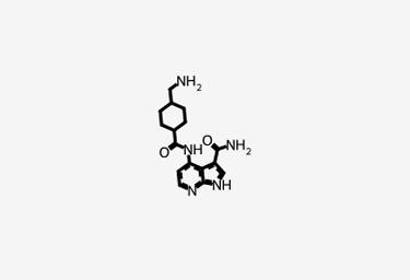 NCC1CCC(C(=O)Nc2ccnc3[nH]cc(C(N)=O)c23)CC1